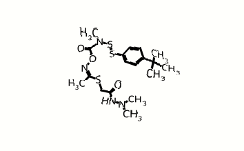 CC(=NOC(=O)N(C)SSc1ccc(C(C)(C)C)cc1)SCC(=O)NN(C)C